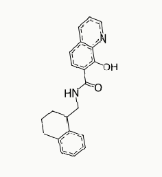 O=C(NCC1CCCc2ccccc21)c1ccc2cccnc2c1O